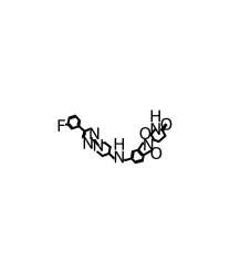 O=C1CCC(N2Cc3cc(CNCC4CCN(c5ncc(-c6cccc(F)c6)cn5)CC4)ccc3C2=O)C(=O)N1